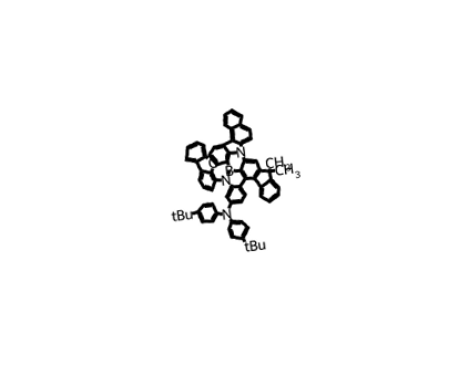 CC(C)(C)c1ccc(N(c2ccc(C(C)(C)C)cc2)c2ccc3c(c2)N(c2cccc4c2oc2ccccc24)B2c4c(cc5c(c4-3)-c3ccccc3C5(C)C)-n3c4ccc5ccccc5c4c4cccc2c43)cc1